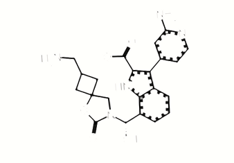 C[C@@H](c1cccc2c(-c3ccnc(N)c3)c(C(=O)O)[nH]c12)N1CC2(CC(CN)C2)OC1=O